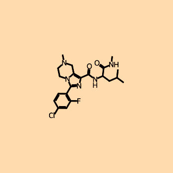 CNC(=O)C(CC(C)C)NC(=O)c1nc(-c2ccc(Cl)cc2F)n2c1CN(C)CC2